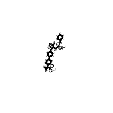 Cc1noc(-c2ccc(-c3ccc(C4(C(=O)O)CC4)cc3)cc2)c1C[C@@H](O)OCc1ccccc1